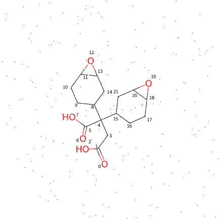 O=C(O)CC(C(=O)O)(C1CCC2OC2C1)C1CCC2OC2C1